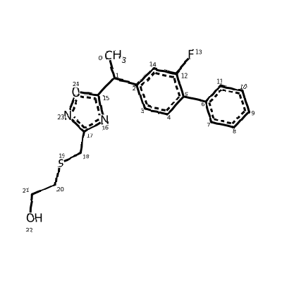 CC(c1ccc(-c2ccccc2)c(F)c1)c1nc(CSCCO)no1